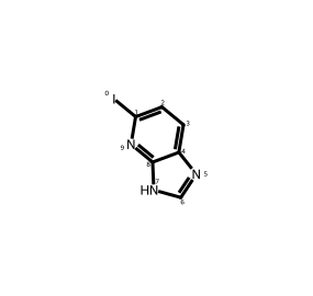 Ic1ccc2nc[nH]c2n1